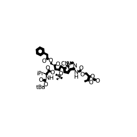 Cc1oc(=O)oc1COC(=O)Nc1ncnn2c([C@]3(C#N)O[C@H](COC(=O)Cc4ccccc4)[C@@H](OC(=O)[C@@H](NC(=O)OC(C)(C)C)C(C)C)C3O[Si](C)(C)C)ccc12